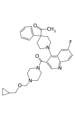 CC(=O)C1(c2ccccc2)CCN(c2c(C(=O)N3CCN(COCC4CC4)CC3)cnc3ccc(F)cc23)CC1